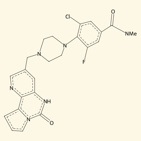 CNC(=O)c1cc(F)c(N2CCN(Cc3cnc4c(c3)[nH]c(=O)n3cccc43)CC2)c(Cl)c1